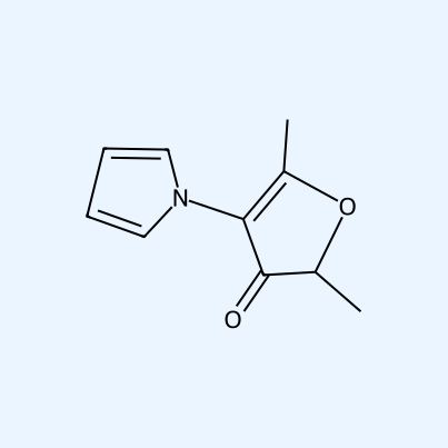 CC1=C(n2cccc2)C(=O)C(C)O1